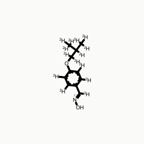 [2H]/C(=N\O)c1c([2H])c([2H])c(OC([2H])([2H])C([2H])(C([2H])([2H])[2H])C([2H])([2H])[2H])c([2H])c1[2H]